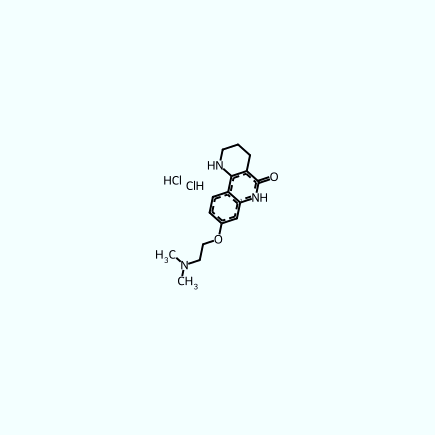 CN(C)CCOc1ccc2c3c(c(=O)[nH]c2c1)CCCN3.Cl.Cl